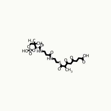 CC(C(=O)CC(=O)CCC(=O)O)C(=O)SCCNC(=O)CCNC(=O)[C@@H]1OP(=O)(O)OCC1(C)C